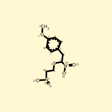 COc1ccc(CC(SCC[N+](=O)[O-])[N+](=O)[O-])cc1